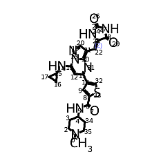 CN1CCC(NC(=O)c2cc(-c3cc(NC4CC4)n4ncc(/C=C5\NC(=O)NC5=O)c4n3)cs2)CC1